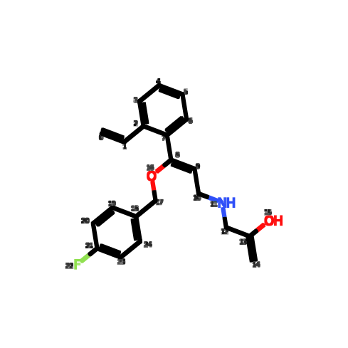 C=Cc1ccccc1/C(=C/CNCC(=C)O)OCc1ccc(F)cc1